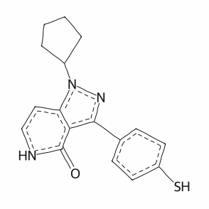 O=c1[nH]ccc2c1c(-c1ccc(S)cc1)nn2C1CCCC1